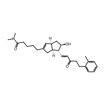 Cc1ccccc1CCC(=O)/C=C/[C@@H]1[C@H]2CC(CCCCC(=O)N(C)C)=C[C@H]2C[C@H]1O